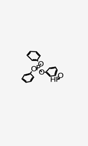 O=P.c1ccc(OP(Oc2ccccc2)Oc2ccccc2)cc1